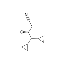 N#CCC(=O)C(C1CC1)C1CC1